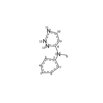 CN(c1ccccc1)c1ccnnn1